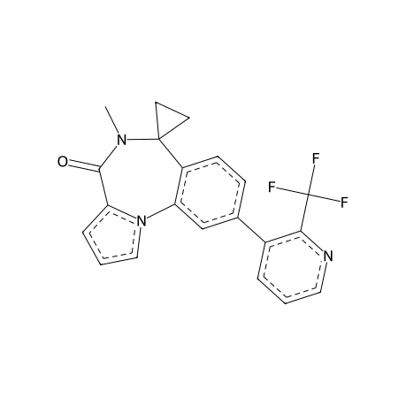 CN1C(=O)c2cccn2-c2cc(-c3cccnc3C(F)(F)F)ccc2C12CC2